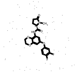 CN1C(=O)CC[C@@H]1C(=O)Nc1cc(Oc2ccc(F)c(F)c2)cc2c1OCCO2